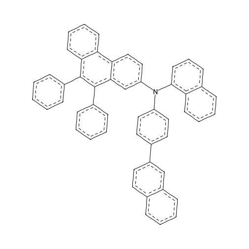 c1ccc(-c2c(-c3ccccc3)c3cc(N(c4ccc(-c5ccc6ccccc6c5)cc4)c4cccc5ccccc45)ccc3c3ccccc23)cc1